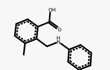 Cc1cccc(C(=O)O)c1CNc1ccccc1